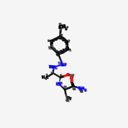 [CH2]c1ccc(NNC(C)C(=O)NC(C(N)=O)C(C)C)cc1